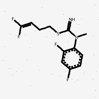 CN(C(=N)SCCC=C(F)F)c1ccc(F)cc1F